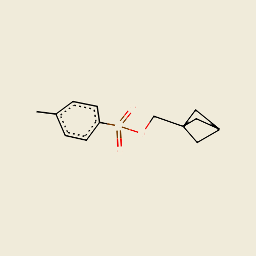 Cc1ccc(S(=O)(=O)OCC23CC(C2)C3)cc1